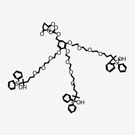 CC(C)(CCCOCCOCCOCCOc1cc(COC(=O)ON2C(=O)CCC2=O)cc(OCCOCCOCCOCCCC(C)(C)[Si](O)(c2ccccc2)c2ccccc2)c1OCCOCCOCCOCCCC(C)(C)[Si](O)(c1ccccc1)c1ccccc1)[Si](O)(c1ccccc1)c1ccccc1